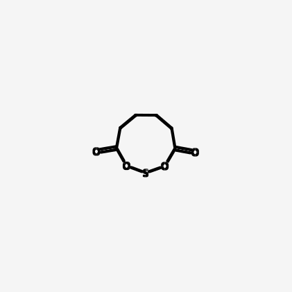 O=C1CCCCC(=O)OSO1